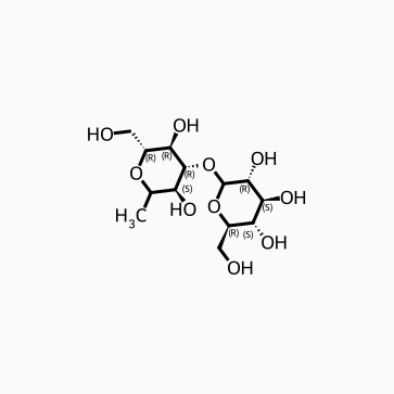 CC1O[C@H](CO)[C@@H](O)[C@H](OC2O[C@H](CO)[C@@H](O)[C@H](O)[C@H]2O)[C@H]1O